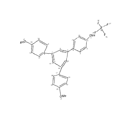 COc1ccc(-c2cc(-c3ccc(OC)cc3)[s+]c(-c3ccc(OC)cc3)c2)cc1.F[B-](F)(F)F